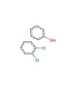 Clc1ccccc1Cl.Oc1ccccc1